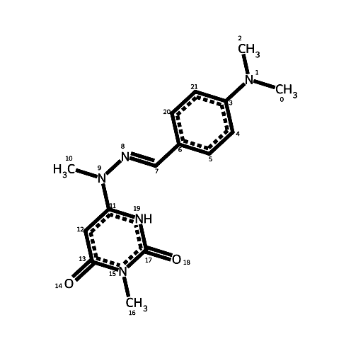 CN(C)c1ccc(C=NN(C)c2cc(=O)n(C)c(=O)[nH]2)cc1